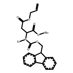 C=CCOC(=O)CC(C(=O)OC(C)(C)C)N(CC)C(=O)OCC1c2ccccc2-c2ccccc21